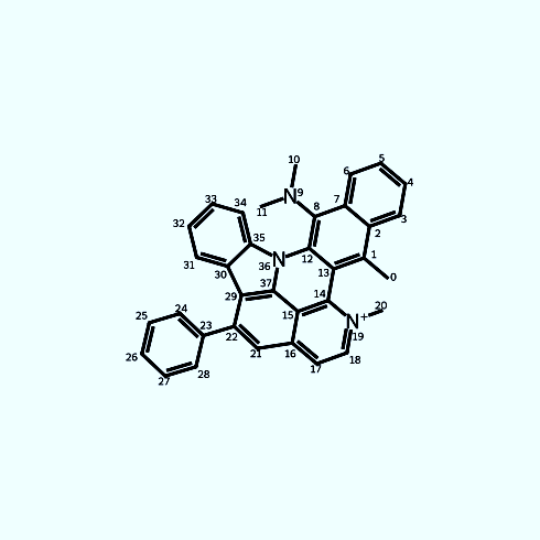 Cc1c2ccccc2c(N(C)C)c2c1c1c3c(cc[n+]1C)cc(-c1ccccc1)c1c4ccccc4n2c13